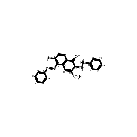 Nc1ccc2c(c1N=Nc1ccccc1)C=C(S(=O)(=O)O)C(NNc1ccccc1)C2=O